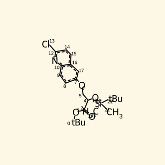 CC(C)(C)OC(=O)C(COc1ccc2nc(Cl)ccc2c1)O[Si](C)(C)C(C)(C)C